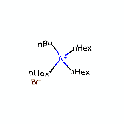 CCCCCC[N+](CCCC)(CCCCCC)CCCCCC.[Br-]